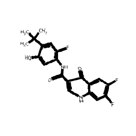 CC(C)(C)c1cc(F)c(NC(=O)c2c[nH]c3cc(F)c(F)cc3c2=O)cc1O